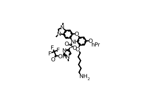 CCCOc1cc(OCCCCCCN)cc(Oc2cc3c(cc2NS(=O)(=O)c2cn(C)cn2)N(C)CN3C)c1.O=C(O)C(F)(F)F